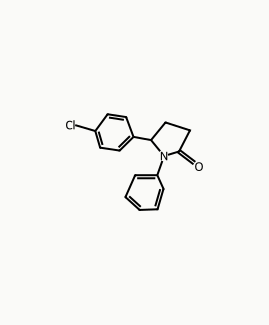 O=C1CCC(c2ccc(Cl)cc2)N1c1ccccc1